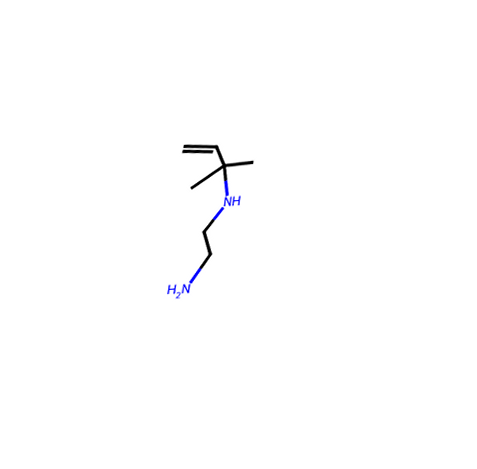 C=CC(C)(C)NCCN